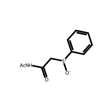 CC(=O)NC(=O)C[S+]([O-])c1ccccc1